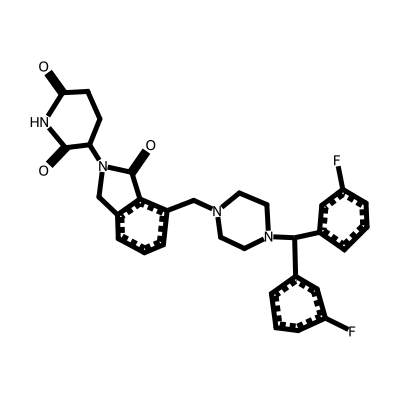 O=C1CCC(N2Cc3cccc(CN4CCN(C(c5cccc(F)c5)c5cccc(F)c5)CC4)c3C2=O)C(=O)N1